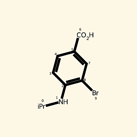 CC(C)Nc1ccc(C(=O)O)cc1Br